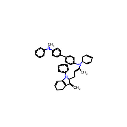 C=C1C2=C(C=CCC2)N(c2ccccc2)C1C/C=C(\C)N(c1ccc(-c2ccc(N(C)c3ccccc3)cc2)cc1)C1C=CC=CC1